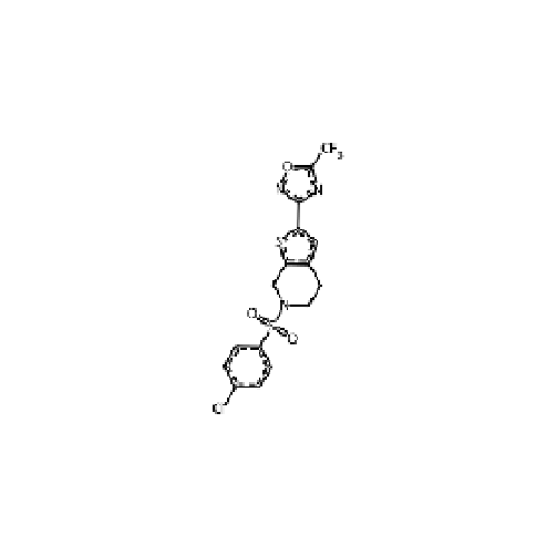 O=S(=O)(c1ccc(Cl)cc1)N1CCc2cc(-c3noc(C(F)(F)F)n3)sc2C1